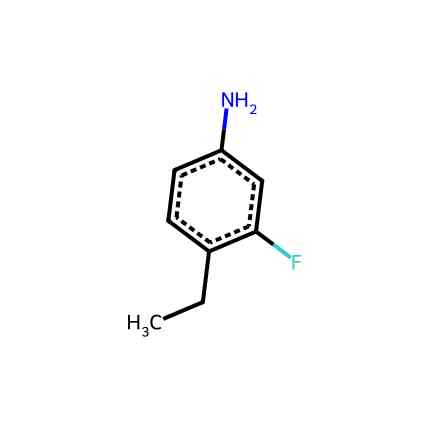 CCc1ccc(N)cc1F